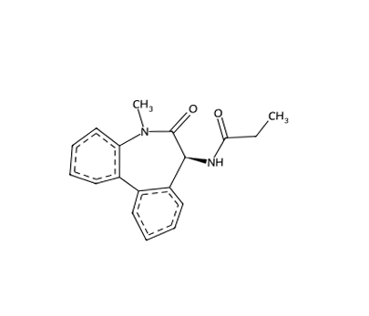 CCC(=O)N[C@@H]1C(=O)N(C)c2ccccc2-c2ccccc21